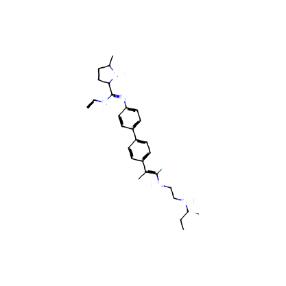 C=CN/C(=N\c1ccc(-c2ccc(/C(C)=C(\F)NCCN[C@@H](C)CC)cc2)cc1)C1CCC(C)N1